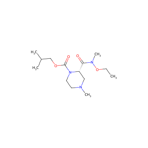 CCON(C)C(=O)[C@@H]1CN(C)CCN1C(=O)OCC(C)C